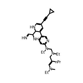 CCC/C(=C\N(C)CC)CN(CC)CN(CC)c1ccc(C2=CC(C#CC3CC3)=CNC2C(N)C=N)cn1